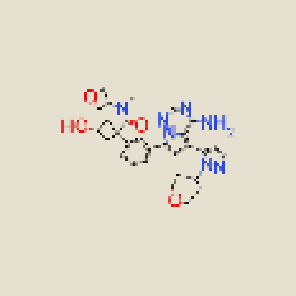 CN(C(=O)C1(c2cccc(-c3cc(-c4ccnn4C4CCOCC4)c4c(N)ncnn34)c2)CC(O)C1)C1COC1